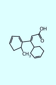 CC1CC=CC=C1/C(=C/C(=O)O)C1CC=CCC1